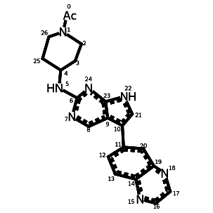 CC(=O)N1CCC(Nc2ncc3c(-c4ccc5nccnc5c4)c[nH]c3n2)CC1